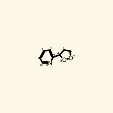 c1ccc(C2CCOO2)nc1